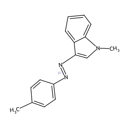 Cc1ccc(/N=N/c2cn(C)c3ccccc23)cc1